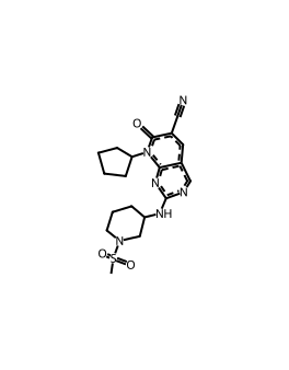 CS(=O)(=O)N1CCCC(Nc2ncc3cc(C#N)c(=O)n(C4CCCC4)c3n2)C1